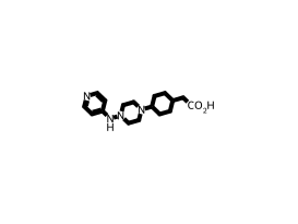 O=C(O)CC1CCC(N2CCN(Nc3ccncc3)CC2)CC1